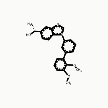 COc1cccc(-c2cccc(-n3cnc4cc([C@@H](C)O)ccc43)c2)c1OC